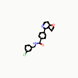 O=C(NCc1cccc(Cl)c1)c1ccc(-c2nccc3occc23)cc1